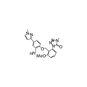 CCCc1cc(-c2ccn(C)n2)ccc1OCc1c(OC)cccc1-n1nnn(C)c1=O